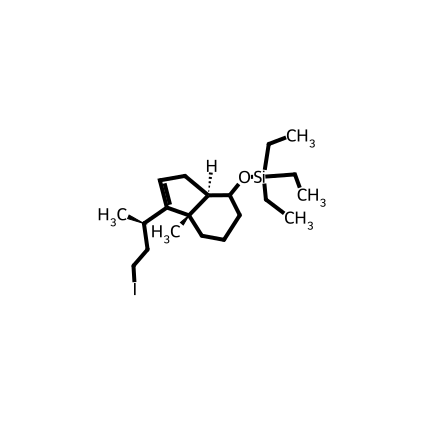 CC[Si](CC)(CC)OC1CCC[C@]2(C)C([C@H](C)CCI)=CC[C@@H]12